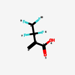 C=C(C(=O)O)C(F)(F)C(F)F